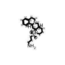 NCCCS(=O)(=O)N1CCC[C@H]2CN3CCc4ccccc4[C@@H]3C[C@H]21